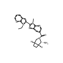 CCn1c(-c2nc3cc(C(=O)N4C[C@H]5CC[C@H]5[C@H]4N)cnc3n2C)cc2cccnc21